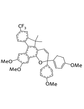 COC1=CC=C(C2(c3ccc(OC)cc3)C=Cc3c4c(c5cc(OC)c(OC)cc5c3O2)-c2ccc(C(F)(F)F)cc2C4(C)C)CC1